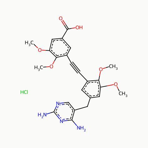 COc1cc(Cc2cnc(N)nc2N)cc(C#Cc2cc(C(=O)O)cc(OC)c2OC)c1OC.Cl